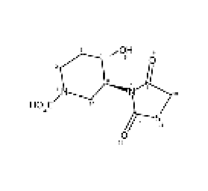 O=C(O)N1CC[C@H](O)[C@@H](N2C(=O)CSC2=O)C1